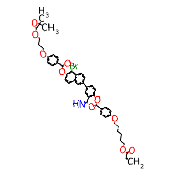 C=CC(=O)OCCCCCCOc1ccc(C(=O)Oc2ccc(-c3ccc4c(Br)c(OC(=O)c5ccc(OCCCOC6OC6(C)C)cc5)ccc4c3)cc2C=N)cc1